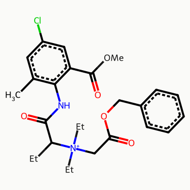 CCC(C(=O)Nc1c(C)cc(Cl)cc1C(=O)OC)[N+](CC)(CC)CC(=O)OCc1ccccc1